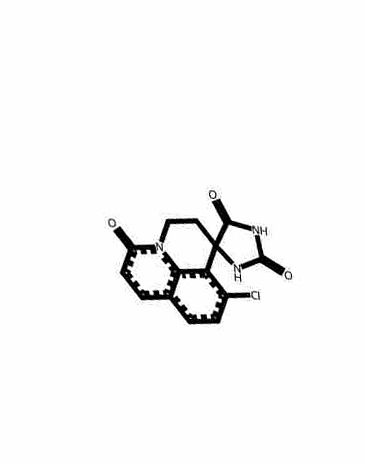 O=C1NC(=O)C2(CCn3c(=O)ccc4ccc(Cl)c2c43)N1